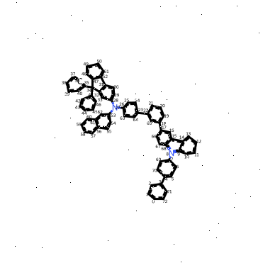 c1ccc(-c2ccc(-n3c4ccccc4c4cc(-c5cccc(-c6ccc(N(c7ccc8c(c7)C(c7ccccc7)(c7ccccc7)c7ccccc7-8)c7ccc8ccccc8c7)cc6)c5)ccc43)cc2)cc1